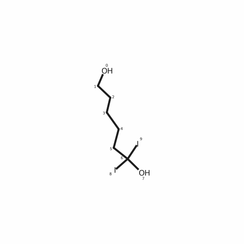 OCCCCCC(O)(I)I